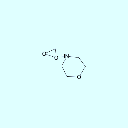 C1COCCN1.C1OO1